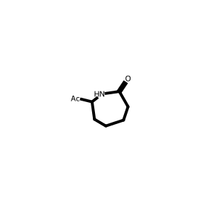 CC(=O)C1CCCCC(=O)N1